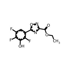 CCOC(=O)c1noc(-c2cc(F)c(F)c(O)c2F)n1